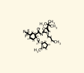 CCCCn1cc(C(C)(C)C)o/c1=N\C(=O)c1cc(C(F)(F)F)ccc1OC[C@@H]1CCCN1C